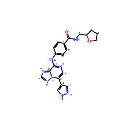 O=C(NCC1CCCO1)c1ccc(Nc2ncc(-c3cn[nH]c3)n3ncnc23)cc1